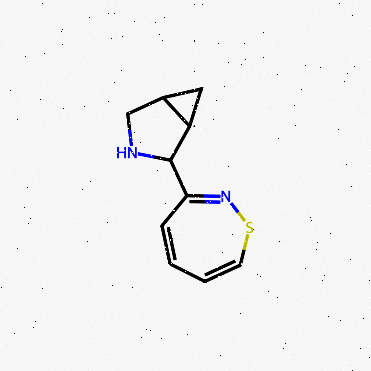 C1=CSN=C(C2NCC3C[C]32)C=C1